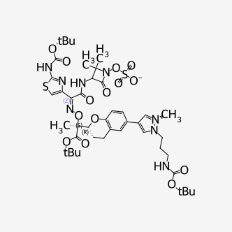 C[n+]1cc(-c2ccc3c(c2)CC[C@H]([C@](C)(O/N=C(\C(=O)NC2C(=O)N(OS(=O)(=O)[O-])C2(C)C)c2csc(NC(=O)OC(C)(C)C)n2)C(=O)OC(C)(C)C)O3)cn1CCCNC(=O)OC(C)(C)C